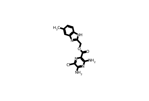 Cc1ccc2[nH]c(COC(=O)c3nc(Cl)c(N)nc3N)nc2c1